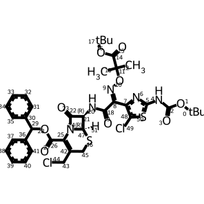 CC(C)(C)OC(=O)Nc1nc(C(=NOC(C)(C)C(=O)OC(C)(C)C)C(=O)N[C@@H]2C(=O)N3C(C(=O)OC(c4ccccc4)c4ccccc4)=C(CCl)CS[C@H]23)c(Cl)s1